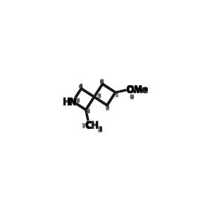 COC1CC2(CNC2C)C1